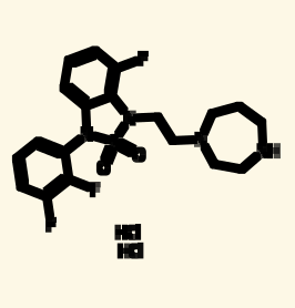 Cl.Cl.O=S1(=O)N(CCN2CCCNCC2)c2c(F)cccc2N1c1cccc(F)c1F